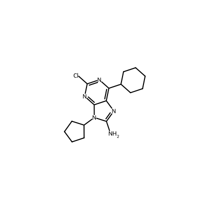 Nc1nc2c(C3CCCCC3)nc(Cl)nc2n1C1CCCC1